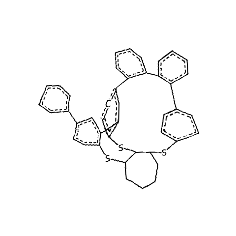 c1ccc(-c2ccc3c(c2)-c2cc4ccc2SC2C(CCCCC2S3)Sc2ccc(cc2)-c2ccccc2-c2ccccc2-4)cc1